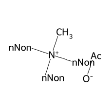 CC(=O)[O-].CCCCCCCCC[N+](C)(CCCCCCCCC)CCCCCCCCC